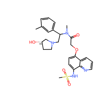 Cc1cccc(C(CN2CC[C@H](O)C2)N(C)C(=O)COc2ccc(NS(C)(=O)=O)c3ncccc23)c1